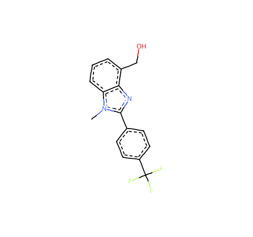 Cn1c(-c2ccc(C(F)(F)F)cc2)nc2c(CO)cccc21